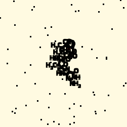 CC(C)C(C)CN(C(C)C(=O)O)[P@@](=O)(OC[C@H]1O[C@@](F)(c2nc3c(=O)[nH]c(N)nc3[nH]2)[C@H](C)[C@@H]1O)Oc1ccccc1